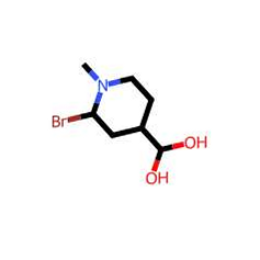 CN1CCC(C(O)O)CC1Br